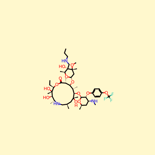 CCCNC[C@]1(O)[C@H](C)O[C@@H](O[C@H]2[C@H](C)[C@@H](O[C@@H]3O[C@H](C)C[C@H](NC)[C@H]3Oc3ccc(OC(F)(F)F)cc3)[C@](C)(O)C[C@@H](C)CN[C@H](C)[C@@H](O)[C@](C)(O)[C@@H](CC)OC(=O)[C@@H]2C)C[C@@]1(C)OC